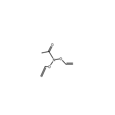 C=CON(OC=C)C(C)=O